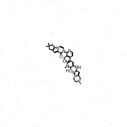 CN1CCn2nc(NC3=CC(c4ccnc(-n5ccn6c7c(cc6c5=O)CC(C)(C)C7)c4CO)=CN(C)C3O)cc2C1